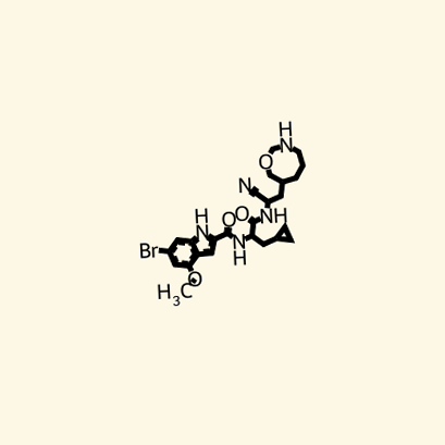 COc1cc(Br)cc2[nH]c(C(=O)NC(CC3CC3)C(=O)NC(C#N)CC3CCCNCOC3)cc12